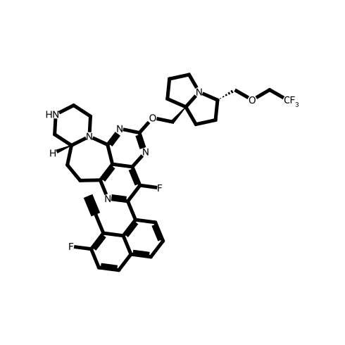 C#Cc1c(F)ccc2cccc(-c3nc4c5c(nc(OC[C@@]67CCCN6[C@H](COCC(F)(F)F)CC7)nc5c3F)N3CCNC[C@H]3CC4)c12